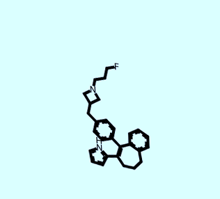 FCCCN1CC(Cc2ccc(C3=C(c4ccc[nH]4)CCCc4ccccc43)cc2)C1